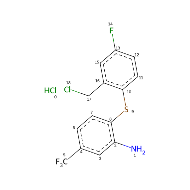 Cl.Nc1cc(C(F)(F)F)ccc1Sc1ccc(F)cc1CCl